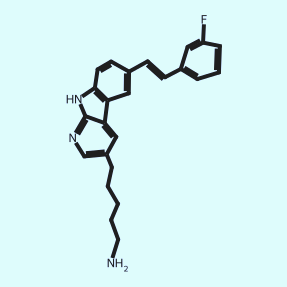 NCCCCCc1cnc2[nH]c3ccc(C=Cc4cccc(F)c4)cc3c2c1